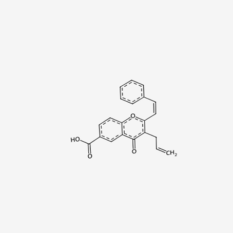 C=CCc1c(/C=C\c2ccccc2)oc2ccc(C(=O)O)cc2c1=O